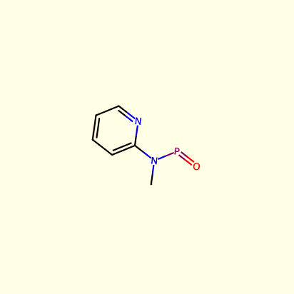 CN(P=O)c1ccccn1